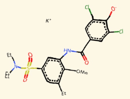 CCc1cc(S(=O)(=O)N(CC)CC)cc(NC(=O)c2cc(Cl)c([O-])c(Cl)c2)c1OC.[K+]